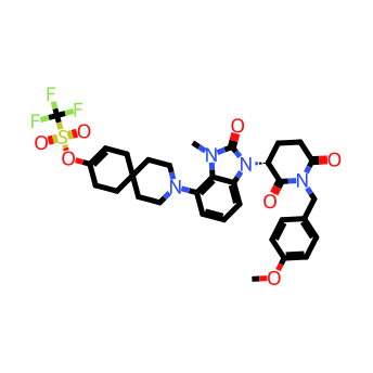 COc1ccc(CN2C(=O)CC[C@@H](n3c(=O)n(C)c4c(N5CCC6(CC=C(OS(=O)(=O)C(F)(F)F)CC6)CC5)cccc43)C2=O)cc1